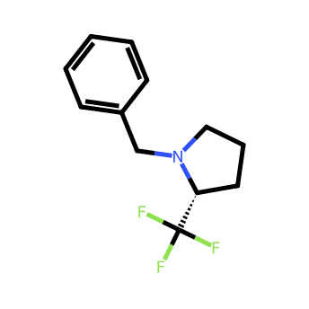 FC(F)(F)[C@H]1CCCN1Cc1ccccc1